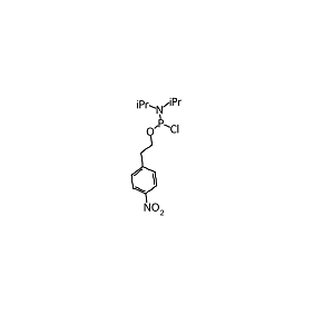 CC(C)N(C(C)C)P(Cl)OCCc1ccc([N+](=O)[O-])cc1